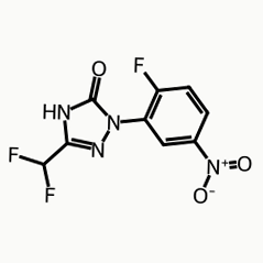 O=c1[nH]c(C(F)F)nn1-c1cc([N+](=O)[O-])ccc1F